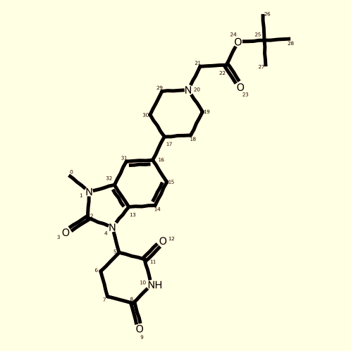 Cn1c(=O)n(C2CCC(=O)NC2=O)c2ccc(C3CCN(CC(=O)OC(C)(C)C)CC3)cc21